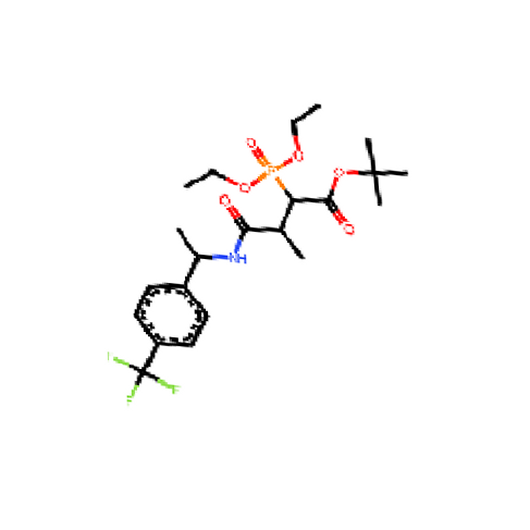 CCOP(=O)(OCC)C(C(=O)OC(C)(C)C)C(C)C(=O)NC(C)c1ccc(C(F)(F)F)cc1